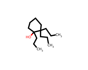 CCCC1(O)CCCCC1(CCC)CCC